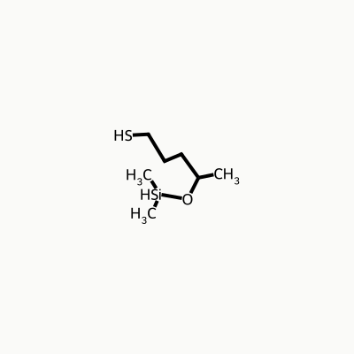 CC(CCCS)O[SiH](C)C